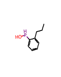 CCCc1ccccc1PO